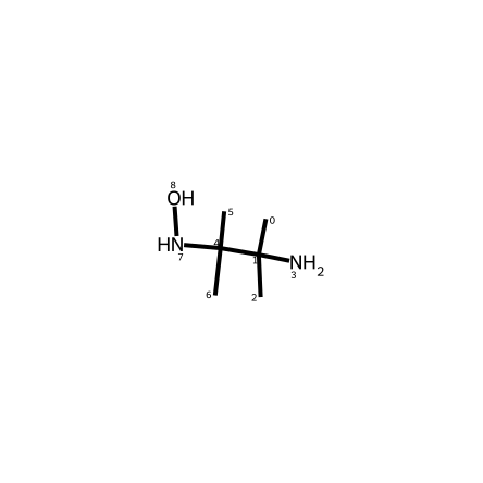 CC(C)(N)C(C)(C)NO